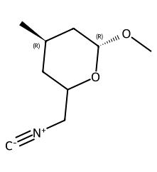 [C-]#[N+]CC1C[C@@H](C)C[C@H](OC)O1